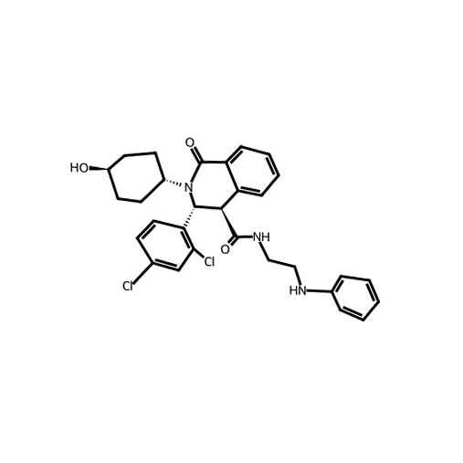 O=C(NCCNc1ccccc1)[C@@H]1c2ccccc2C(=O)N([C@H]2CC[C@H](O)CC2)[C@H]1c1ccc(Cl)cc1Cl